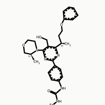 CCNC(=O)Nc1ccc(-c2nc([C@H](C)CCOc3ccccc3)c(CO)c(N3CCOC[C@@H]3C)n2)cc1